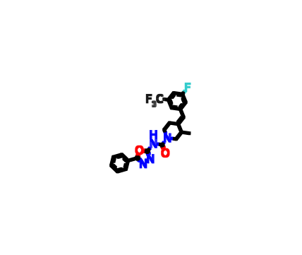 CC1CN(C(=O)Nc2nnc(-c3ccccc3)o2)CCC1=Cc1cc(F)cc(C(F)(F)F)c1